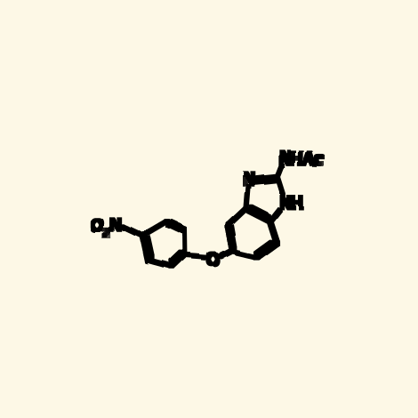 CC(=O)Nc1nc2cc(Oc3ccc([N+](=O)[O-])cc3)ccc2[nH]1